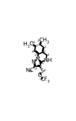 C=C/C=C1/CNc2c(SOC(F)(F)F)c(C#N)nn2/C1=C/C=C